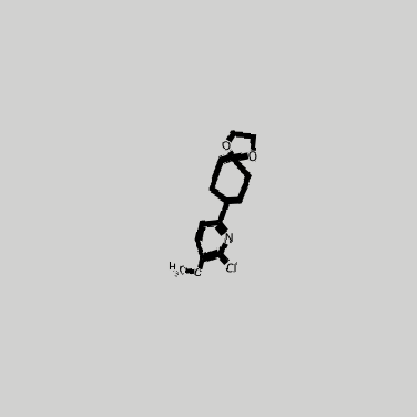 COc1ccc(C2CCC3(CC2)OCCO3)nc1Cl